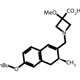 CCCCOc1ccc2c(c1)C[C@H](C)C(CN1CC(OC)(C(=O)O)C1)=C2